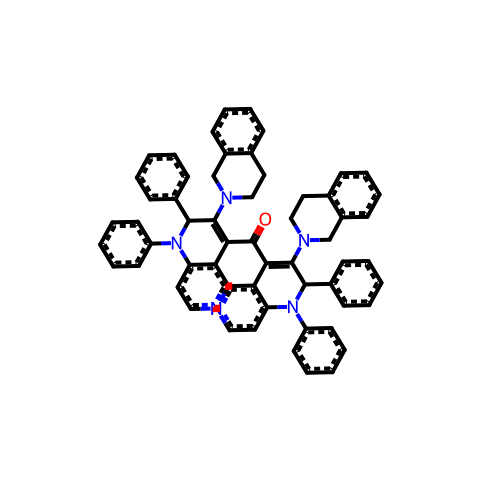 O=C(C1=C(N2CCc3ccccc3C2)C(c2ccccc2)N(c2ccccc2)c2ccncc21)C1=C(N2CCc3ccccc3C2)C(c2ccccc2)N(c2ccccc2)c2ccncc21